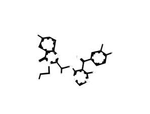 CCCn1c(C(C)Nc2ncnc(N)c2C(=N)c2ccc(C)c(F)c2)nc2ccc(F)cc2c1=O